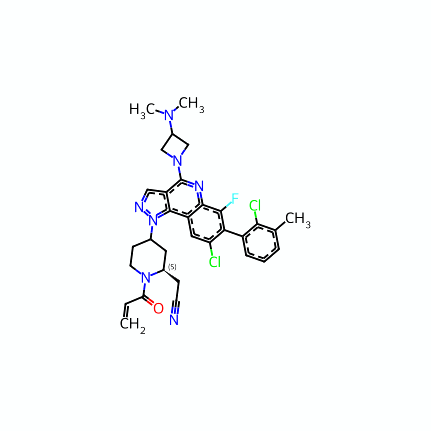 C=CC(=O)N1CCC(n2ncc3c(N4CC(N(C)C)C4)nc4c(F)c(-c5cccc(C)c5Cl)c(Cl)cc4c32)C[C@H]1CC#N